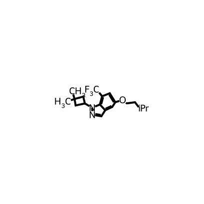 CC(C)CCOc1cc(C(F)(F)F)c2c(cnn2C2CC(C)(C)C2)c1